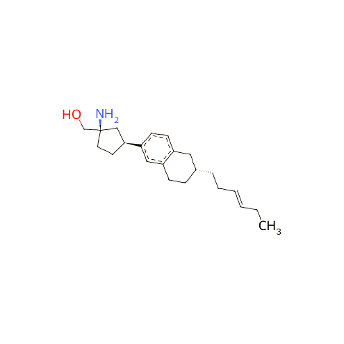 CCC=CCC[C@@H]1CCc2cc([C@H]3CC[C@](N)(CO)C3)ccc2C1